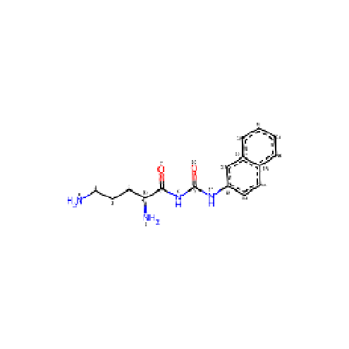 NCCC[C@H](N)C(=O)NC(=O)Nc1ccc2ccccc2c1